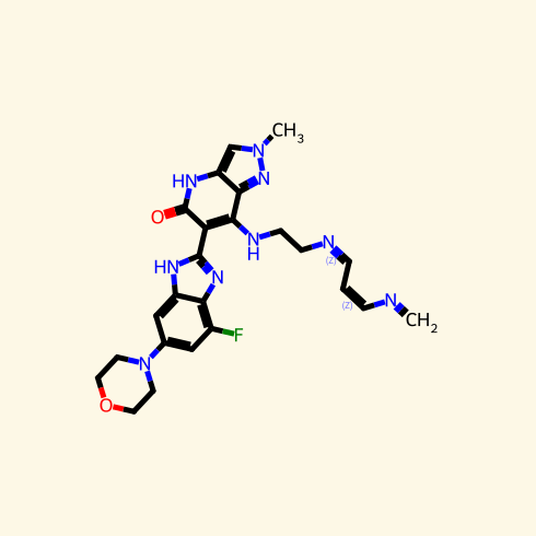 C=N/C=C\C=N/CCNc1c(-c2nc3c(F)cc(N4CCOCC4)cc3[nH]2)c(=O)[nH]c2cn(C)nc12